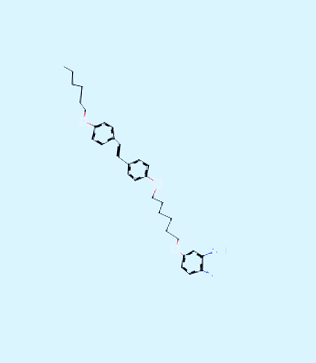 CCCCCCOc1ccc(C=Cc2ccc(OCCCCCCOc3ccc(N)c(N)c3)cc2)cc1